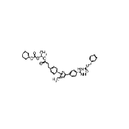 CC(OC(=O)CCc1ccc(-c2nc(-c3ccc(C(=N)NC(=O)OCc4ccccc4)cc3)cn2C)cc1)OC(=O)OC1CCCCC1